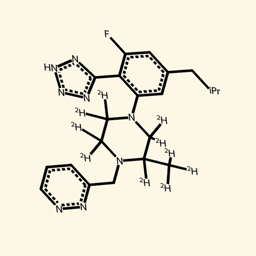 [2H]C([2H])([2H])C1([2H])N(Cc2cccnn2)C([2H])([2H])C([2H])([2H])N(c2cc(CC(C)C)cc(F)c2-c2nn[nH]n2)C1([2H])[2H]